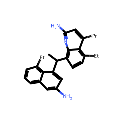 CCc1cccc2cc(N)cc(C(C)c3ccc(CC)c4c(C(C)C)cc(N)nc34)c12